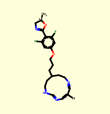 CCC1=C/N=C/NCCC(CCCOc2cc(F)c(C3=NC[C@@H](C)O3)c(F)c2)CC/N=C\1